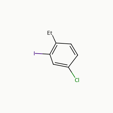 CCc1ccc(Cl)cc1I